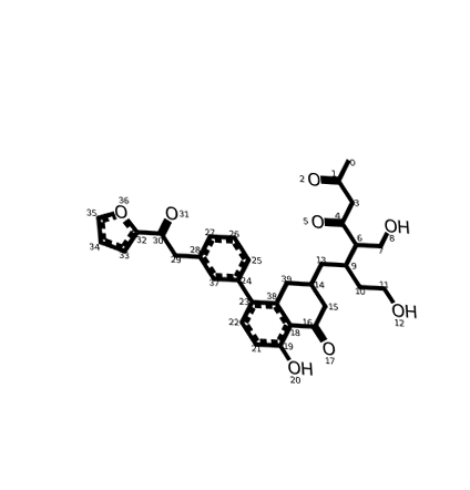 CC(=O)CC(=O)C(CO)C(CCO)CC1CC(=O)c2c(O)ccc(-c3cccc(CC(=O)c4ccco4)c3)c2C1